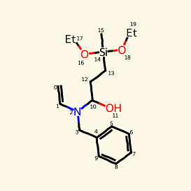 C=CN(Cc1ccccc1)C(O)CC[Si](C)(OCC)OCC